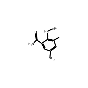 CCCNc1c(C)cc([N+](=O)[O-])cc1C(N)=O